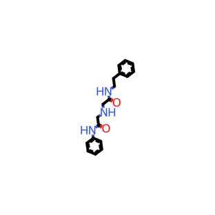 O=C(CNCC(=O)Nc1ccccc1)NCCc1ccccc1